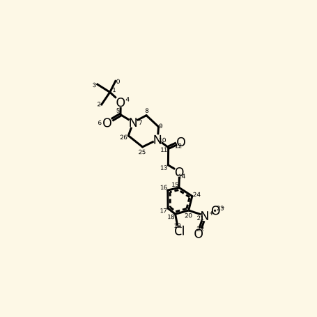 CC(C)(C)OC(=O)N1CCN(C(=O)COc2ccc(Cl)c([N+](=O)[O-])c2)CC1